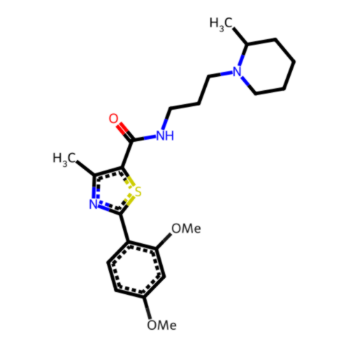 COc1ccc(-c2nc(C)c(C(=O)NCCCN3CCCCC3C)s2)c(OC)c1